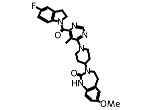 COc1ccc2c(c1)CCN(C1CCN(c3ncnc(C(=O)N4CCc5cc(F)ccc54)c3C)CC1)C(=O)N2